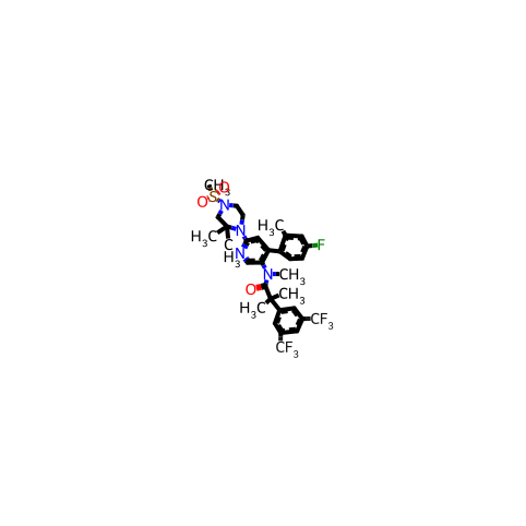 Cc1cc(F)ccc1-c1cc(N2CCN(S(C)(=O)=O)CC2(C)C)ncc1N(C)C(=O)C(C)(C)c1cc(C(F)(F)F)cc(C(F)(F)F)c1